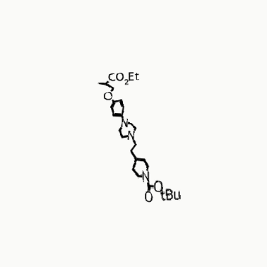 CCOC(=O)C(C)COc1ccc(N2CCN(CCC3CCN(C(=O)OC(C)(C)C)CC3)CC2)cc1